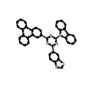 c1ccc2c(c1)c1ccccc1c1cc(-c3nc(-c4ccc5ncsc5c4)nc(-n4c5ccccc5c5ccccc54)n3)ccc21